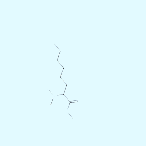 CCCCCCC(C(=O)OC)[S+](C)[O-]